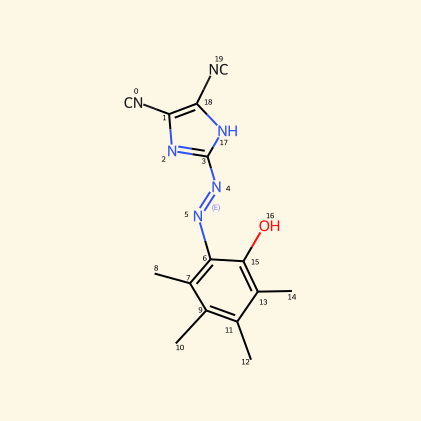 [C-]#[N+]c1nc(/N=N/c2c(C)c(C)c(C)c(C)c2O)[nH]c1[N+]#[C-]